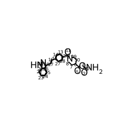 NC(=O)OC(=O)C1CCN(C(=O)c2ccc(C=Cc3n[nH]c4ccccc34)cc2)CC1